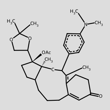 CC(=O)O[C@]1(C2COC(C)(C)O2)CCC2CCCC3=CC(=O)CC/C3=C(/C)C(c3ccc(N(C)C)cc3)C[C@@]21C